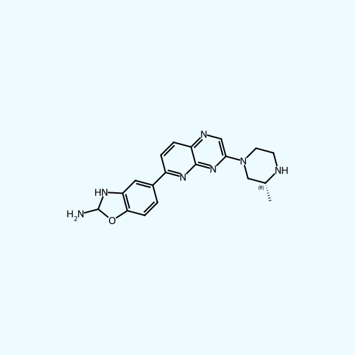 C[C@@H]1CN(c2cnc3ccc(-c4ccc5c(c4)NC(N)O5)nc3n2)CCN1